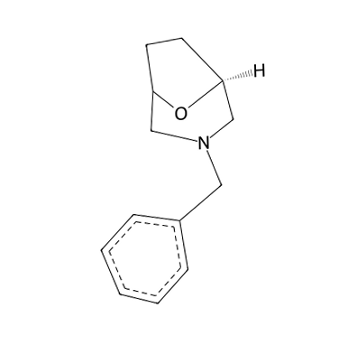 c1ccc(CN2CC3CC[C@@H](C2)O3)cc1